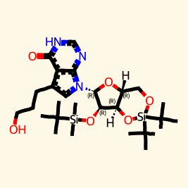 CC(C)(C)[Si](C)(C)O[C@@H]1[C@@H]2O[Si](C(C)(C)C)(C(C)(C)C)OC[C@H]2O[C@H]1n1cc(CCCO)c2c(=O)[nH]cnc21